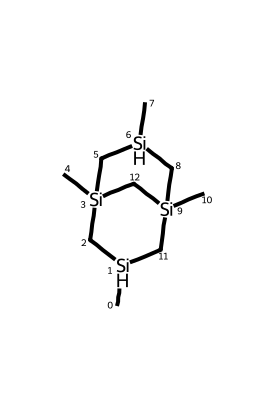 C[SiH]1C[Si]2(C)C[SiH](C)C[Si](C)(C1)C2